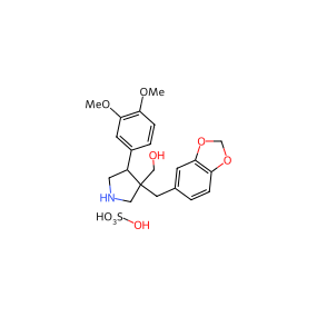 COc1ccc(C2CNCC2(CO)Cc2ccc3c(c2)OCO3)cc1OC.O=S(=O)(O)O